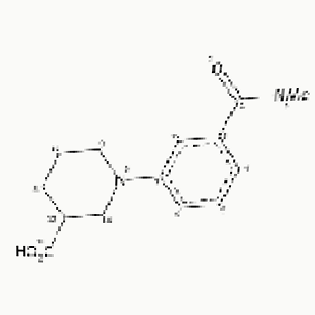 CNC(=O)c1cccc(N2CCCC(C(=O)O)C2)c1